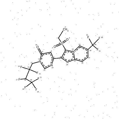 CCS(=O)(=O)c1c(-c2cc(=O)n(CC(F)(F)C(F)C(F)(F)F)cn2)nc2ccc(C(F)(F)F)cn12